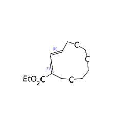 CCOC(=O)/C1=C/C=C/CCCCCCCC1